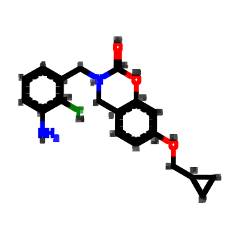 Nc1cccc(CN2Cc3ccc(OCC4CC4)cc3OC2=O)c1F